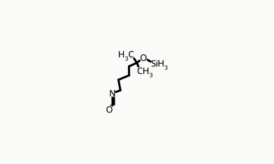 CC(C)(CCCCN=C=O)O[SiH3]